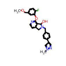 COCc1ccc(F)c(Oc2nccc3c2C(O)N(Cc2ccc(-c4cnn(C)c4)cc2)C3)c1